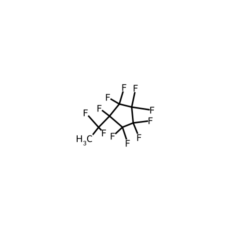 CC(F)(F)C1(F)C(F)(F)C(F)(F)C(F)(F)C1(F)F